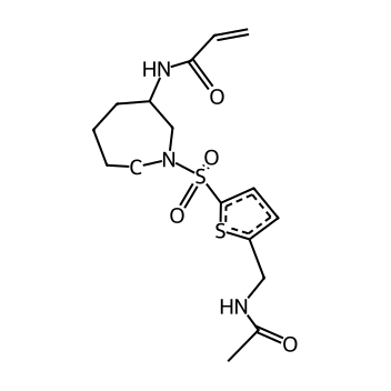 C=CC(=O)NC1CCCCN(S(=O)(=O)c2ccc(CNC(C)=O)s2)C1